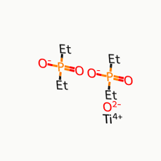 CCP(=O)([O-])CC.CCP(=O)([O-])CC.[O-2].[Ti+4]